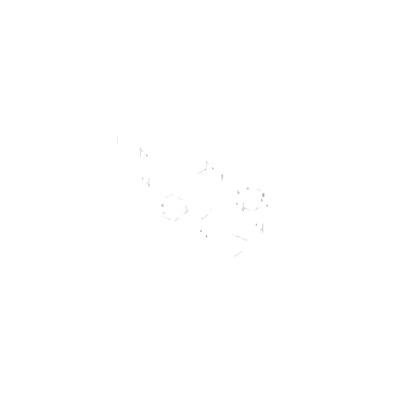 CC1=CCC(NC(=O)c2ccc(CN3CCN(C)CC3)cc2)C=C1Nc1nccc(C2=CN=CCC2)n1